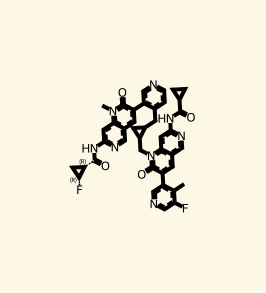 Cc1c(F)cncc1-c1cc2cnc(NC(=O)C3CC3)cc2n(CC2CC2Cc2ccncc2-c2cc3cnc(NC(=O)[C@H]4C[C@H]4F)cc3n(C)c2=O)c1=O